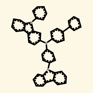 c1ccc(-c2ccc(N(c3ccc(-n4c5ccccc5c5ccccc54)cc3)c3ccc4c5ccccc5n(-c5ccccc5)c4c3)cc2)cc1